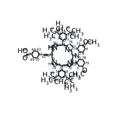 COc1ccc(N(c2ccc(OC)cc2)c2c3nc(c(-c4cc(C(C)(C)C)cc(C(C)(C)C)c4)c4ccc([nH]4)c(C#Cc4ccc(C(=O)O)cc4)c4nc(c(-c5cc(C(C)(C)C)cc(C(C)(C)C)c5)c5ccc2[nH]5)C=C4)C=C3)cc1